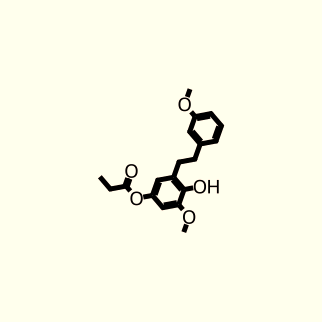 CCC(=O)Oc1cc(CCc2cccc(OC)c2)c(O)c(OC)c1